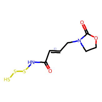 O=C(/C=C/CN1CCOC1=O)NSSS